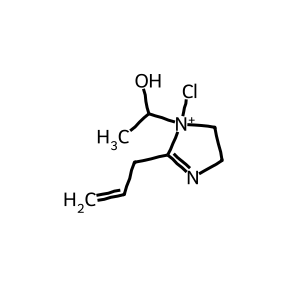 C=CCC1=NCC[N+]1(Cl)C(C)O